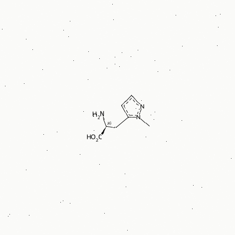 Cn1nccc1C[C@H](N)C(=O)O